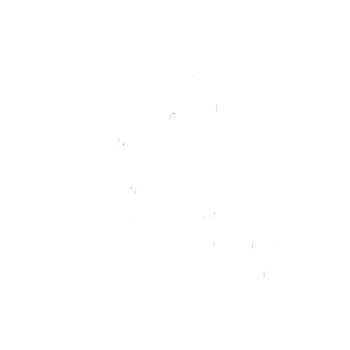 F[B-](F)(F)F.F[P-](F)(F)(F)(F)F.c1cc[n+]2cc(-c3ccsc3)[n+]3ccccc3c2c1